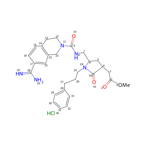 COC(=O)CC1CC(CNC(=O)N2CCc3ccc(C(=N)N)cc3C2)N(CCCc2ccccc2)C1=O.Cl